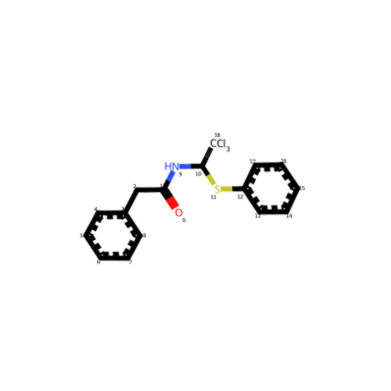 O=C(Cc1ccccc1)NC(Sc1ccccc1)C(Cl)(Cl)Cl